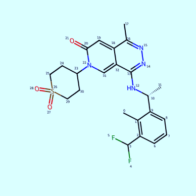 Cc1c(C(F)F)cccc1[C@@H](C)Nc1nnc(C)c2cc(=O)n(C3CCS(=O)(=O)CC3)cc12